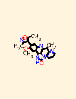 COc1cc2c(cc1-c1c(C)noc1C)nc([C@H](C)c1ccccn1)c1[nH]c(=O)[nH]c12